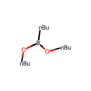 CCCCOB(CCCC)OCCCC